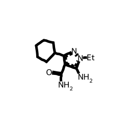 CCn1nc(C2CCCCC2)c(C(N)=O)c1N